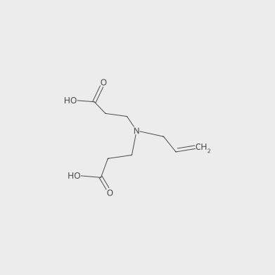 C=CCN(CCC(=O)O)CCC(=O)O